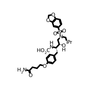 CC(C)CN(C[C@H](O)[C@H](Cc1ccc(OCCCC(N)=O)cc1)NC(=O)O)S(=O)(=O)c1ccc2c(c1)OCO2